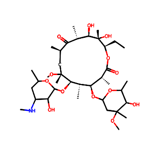 CC[C@H]1OC(=O)[C@H](C)[C@@H](OC2CC(C)(OC)C(O)C(C)O2)[C@H](C)[C@@H](OC2OC(C)CC(NC)C2O)[C@](C)(OC)C[C@@H](C)C(=O)[C@H](C)[C@@H](O)[C@]1(C)O